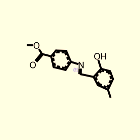 COC(=O)c1ccc(/N=C/c2cc(C)ccc2O)cc1